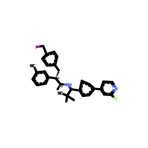 C[C@H](NC(c1ccc(-c2ccnc(F)c2)cc1)C(C)(C)C#N)[C@@H](Cc1ccc(CI)cc1)c1cccc(C#N)c1